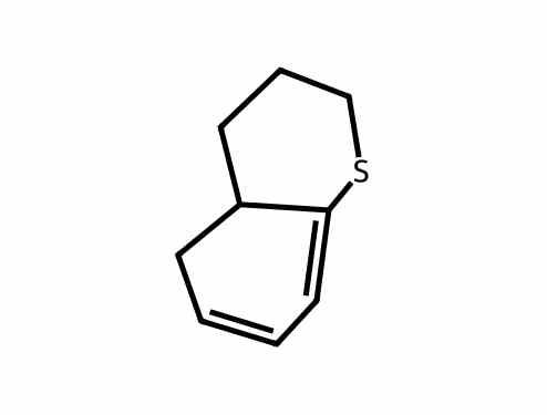 C1=CCC2CCCSC2=C1